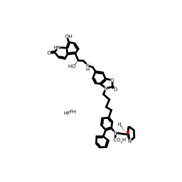 F.F.O=C(O)N(c1cc(CCCCn2c(=O)oc3cc(CNC[C@H](O)c4ccc(O)c5[nH]c(=O)ccc45)ccc32)ccc1-c1ccccc1)[C@H]1CN2CCC1CC2